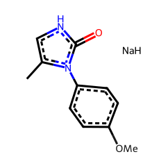 COc1ccc(-n2c(C)c[nH]c2=O)cc1.[NaH]